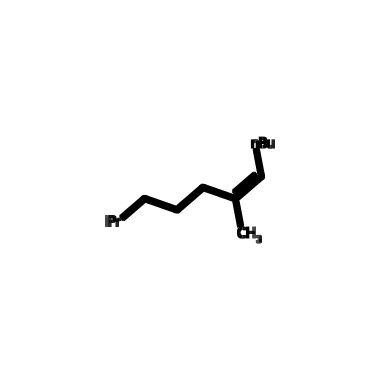 C[CH]CCC=C(C)CCCC(C)C